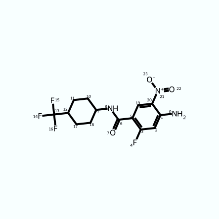 Nc1cc(F)c(C(=O)NC2CCC(C(F)(F)F)CC2)cc1[N+](=O)[O-]